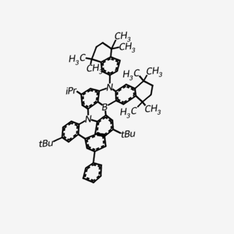 CC(C)c1cc2c3c(c1)N(c1ccc(C(C)(C)C)cc1-c1cccc(-c4ccccc4)c1)c1ccc(C(C)(C)C)cc1B3c1cc3c(cc1N2c1ccc2c(c1)C(C)(C)CCC2(C)C)C(C)(C)CCC3(C)C